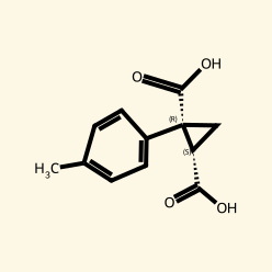 Cc1ccc([C@@]2(C(=O)O)C[C@@H]2C(=O)O)cc1